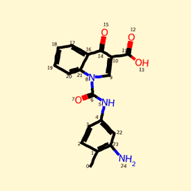 Cc1ccc(NC(=O)n2cc(C(=O)O)c(=O)c3ccccc32)cc1N